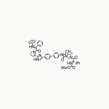 COC(=O)N[C@H](C(=O)N1CC(C)[C@H](C(=O)Nc2ccc(-c3ccc(-c4c[nH]c([C@@H]5CCCN5C(=O)[C@H](NC5OCO5)c5ccccc5)n4)cc3)cc2)C1)C(C)C